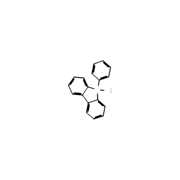 ClS1(c2ccccc2)c2ccccc2-c2ccccc21